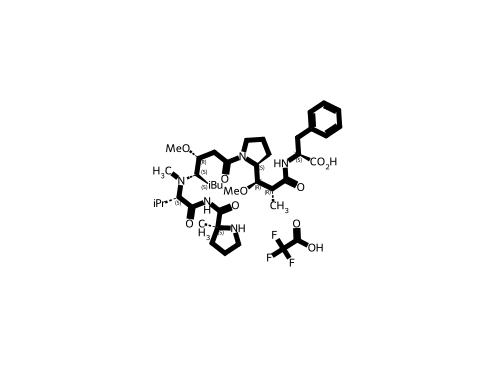 CC[C@H](C)[C@@H]([C@@H](CC(=O)N1CCC[C@H]1[C@H](OC)[C@@H](C)C(=O)N[C@@H](Cc1ccccc1)C(=O)O)OC)N(C)[C@H](C(=O)NC(=O)[C@]1(C)CCCN1)C(C)C.O=C(O)C(F)(F)F